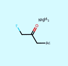 CC(=O)CC(=O)CF.[MgH2]